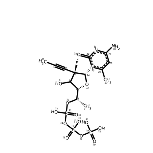 CC#C[C@@]1(F)C(O)[C@@H]([C@H](C)OP(=O)(O)OP(=O)(O)OP(=O)(O)O)O[C@H]1n1c(C)cc(N)nc1=O